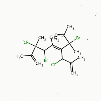 C=C(C)C(Cl)C(=C(C)C(Br)C(C)(Cl)C(=C)C)C(C)(Br)C(=C)C